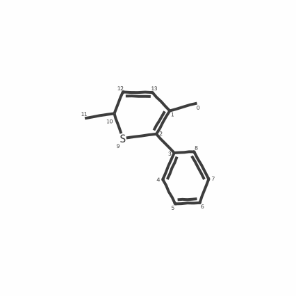 CC1=C(c2ccccc2)SC(C)C=C1